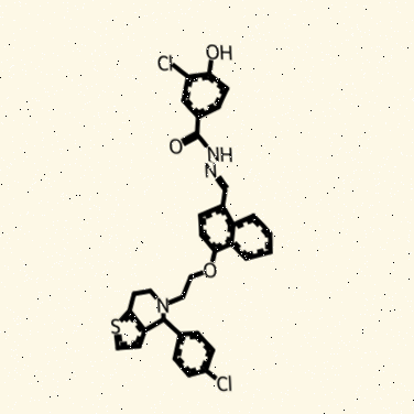 O=C(N/N=C/c1ccc(OCCN2CCc3sccc3C2c2ccc(Cl)cc2)c2ccccc12)c1ccc(O)c(Cl)c1